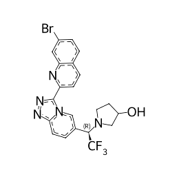 OC1CCN([C@H](c2ccc3nnc(-c4ccc5ccc(Br)cc5n4)n3c2)C(F)(F)F)C1